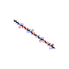 C=CCCCNC(=O)COCCOCCNC(=O)COCCOCCNC(=O)COCCOCCNC(=O)CC